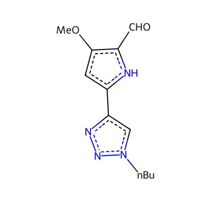 CCCCn1cc(-c2cc(OC)c(C=O)[nH]2)nn1